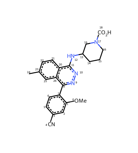 COc1cc(C#N)ccc1-c1nnc(NC2CCCN(C(=O)O)C2)c2ccc(C)cc12